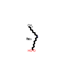 CCCCCCCC/C=C\CCCCCCCC(=O)O.[Fe].[Mn]